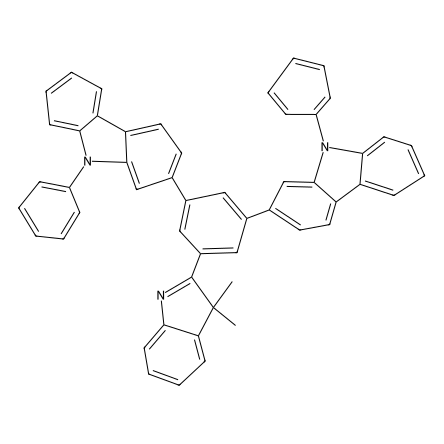 CC1(C)C(c2cc(-c3ccc4c5ccccc5n(-c5ccccc5)c4c3)cc(-c3ccc4c5ccccc5n(-c5ccccc5)c4c3)c2)=Nc2ccccc21